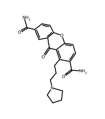 NC(=O)c1ccc2oc3ccc(C(N)=O)c(CCCN4CCCC4)c3c(=O)c2c1